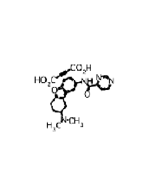 CN(C)C1CCc2oc3ccc(NC(=O)c4ccncn4)cc3c2C1.O=C(O)C#CC(=O)O